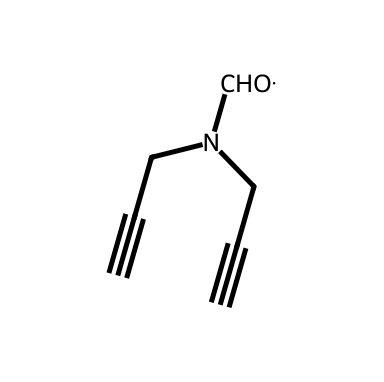 C#CCN([C]=O)CC#C